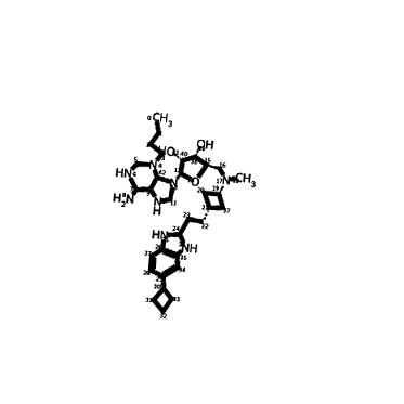 CCCCN1CNC(N)C2NCN([C@@H]3O[C@H](CN(C)[C@H]4C[C@@H](CCC5Nc6ccc(C7CCC7)cc6N5)C4)[C@@H](O)[C@H]3O)C21